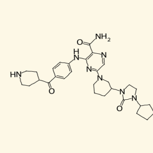 NC(=O)c1ncc(N2CCCC(N3CCN(C4CCCC4)C3=O)C2)nc1Nc1ccc(C(=O)C2CCNCC2)cc1